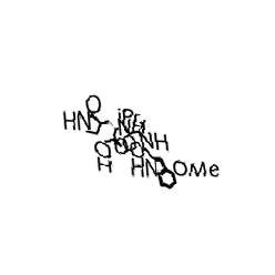 COc1cccc2[nH]c(C(=O)N[C@H](CC(C)C)C(=O)N[C@@H](CC3CCNC3=O)C(=O)CO)cc12